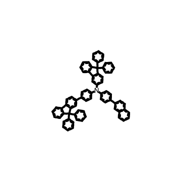 c1ccc(C2(c3ccccc3)c3ccccc3-c3cc(N(c4ccc(-c5ccc6c(c5)C(c5ccccc5)(c5ccccc5)c5ccccc5-6)cc4)c4ccc(-c5ccc6ccccc6c5)cc4)ccc32)cc1